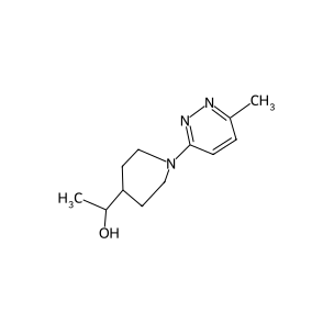 Cc1ccc(N2CCC(C(C)O)CC2)nn1